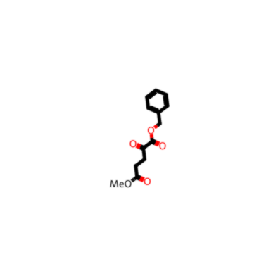 COC(=O)CCC(=O)C(=O)OCc1ccccc1